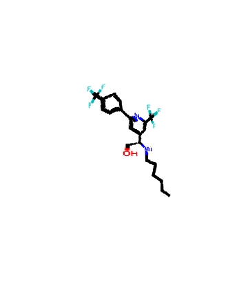 CCCCCCN[C@@H](CO)c1cc(-c2ccc(C(F)(F)F)cc2)nc(C(F)(F)F)c1